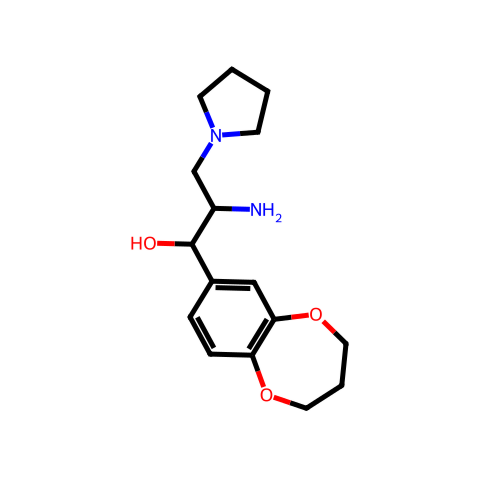 NC(CN1CCCC1)C(O)c1ccc2c(c1)OCCCO2